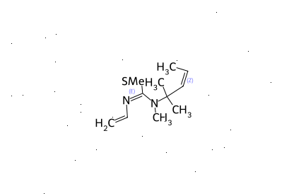 C=C/N=C(/SC)N(C)C(C)(C)/C=C\C